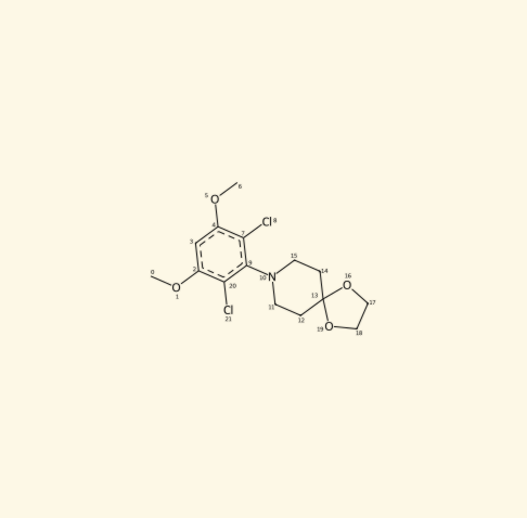 COc1cc(OC)c(Cl)c(N2CCC3(CC2)OCCO3)c1Cl